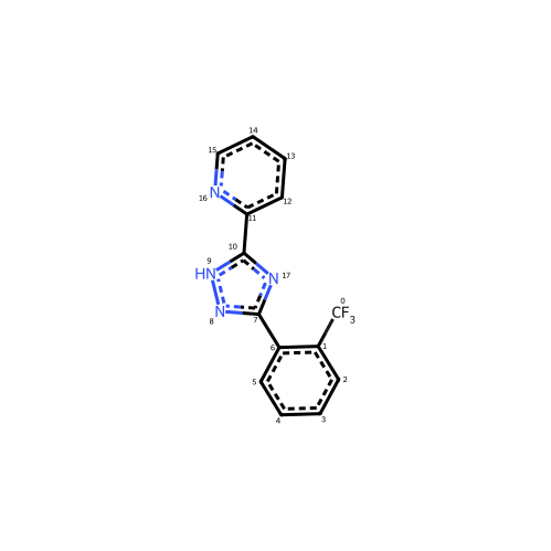 FC(F)(F)c1ccccc1-c1n[nH]c(-c2ccccn2)n1